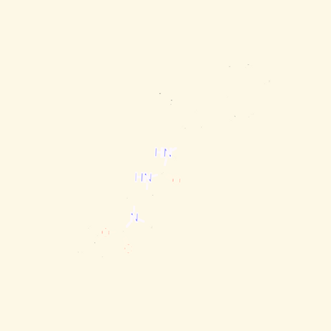 CCCCC(CCCNC(=O)NC1CCN(C(=O)OC(C)(C)C)C1)C1CCCCCCC1